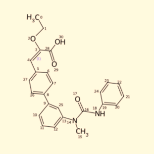 CCO/C(=C/c1ccc(-c2cccc(N(C)C(=O)Nc3ccccc3)c2)cc1)C(=O)O